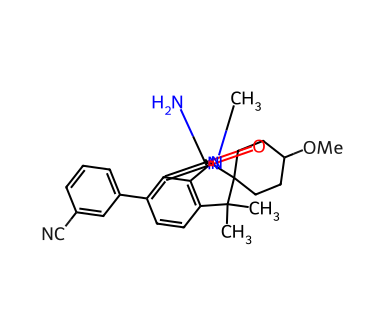 COC1CCC2(CC1)C(C)(C)c1ccc(-c3cccc(C#N)c3)cc1C21N=C(N)N(C)C1=O